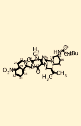 CC(C)=CCn1c(N2CCCC(NC(=O)OC(C)(C)C)C2)nc2c1c(=O)n(Cc1nccc3c([N+](=O)[O-])cccc13)c(=O)n2C